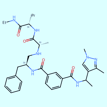 CCNC(=O)[C@@H](NC(=O)[C@H](C)NC[C@H](Cc1ccccc1)NC(=O)c1cccc(C(=O)NC(C)c2cn(C)nc2C)c1)C(C)C